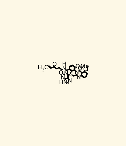 CC=CC(=O)CCC(=O)NCc1ccc(OC)c(-n2c(CSc3ncnc4[nH]cnc34)nc3cccc(Cl)c3c2=O)c1